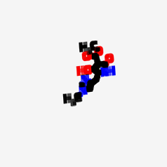 COC(=O)C1=C(O)C(Cc2cn(C)cn2)NC1=O